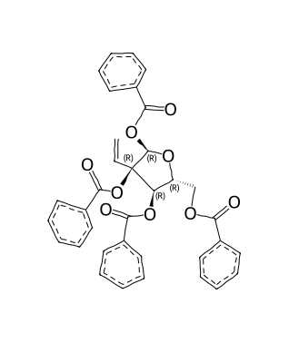 C=C[C@]1(OC(=O)c2ccccc2)[C@@H](OC(=O)c2ccccc2)O[C@H](COC(=O)c2ccccc2)[C@H]1OC(=O)c1ccccc1